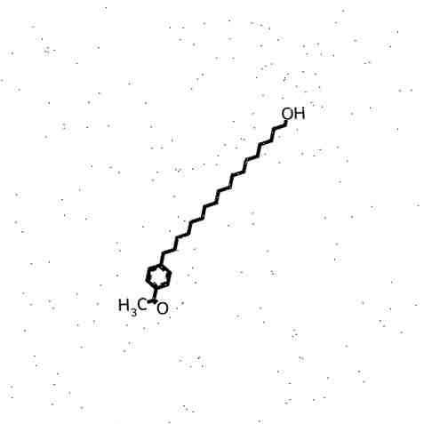 CC(=O)c1ccc(CCCCCCCCCCCCCCCCCCO)cc1